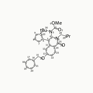 COC(=O)N(c1c(-c2cccs2)c2cc(OCc3ccccc3)ccc2c(=O)n1CC(C)C)C(C)(C)C